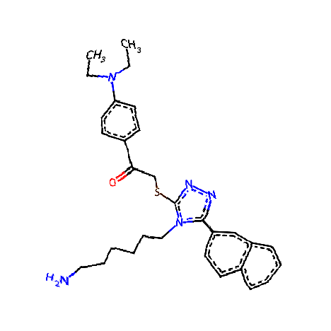 CCN(CC)c1ccc(C(=O)CSc2nnc(-c3ccc4ccccc4c3)n2CCCCCCN)cc1